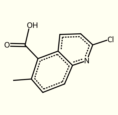 Cc1ccc2nc(Cl)ccc2c1C(=O)O